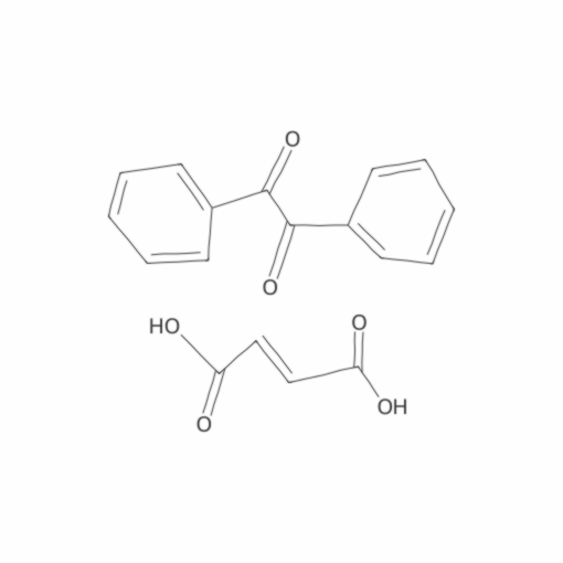 O=C(C(=O)c1ccccc1)c1ccccc1.O=C(O)/C=C/C(=O)O